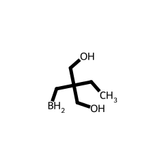 BCC(CC)(CO)CO